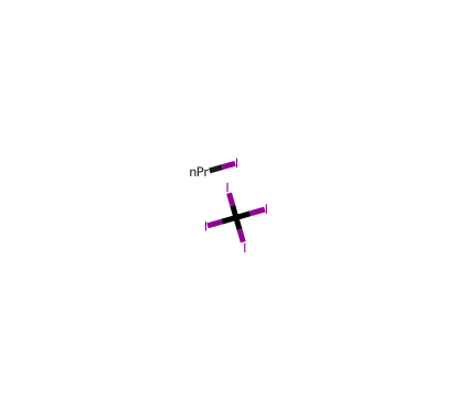 CCCI.IC(I)(I)I